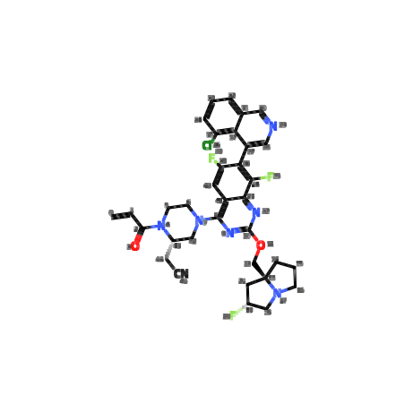 C=CC(=O)N1CCN(c2nc(OC[C@@]34CCCN3C[C@H](F)C4)nc3c(F)c(-c4cncc5cccc(Cl)c45)c(F)cc23)C[C@@H]1CC#N